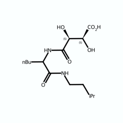 CCCCC(NC(=O)[C@@H](O)[C@H](O)C(=O)O)C(=O)NCCC(C)C